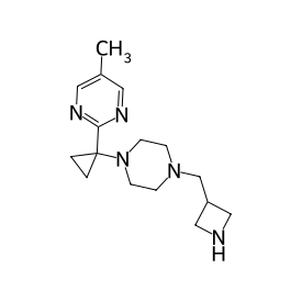 Cc1cnc(C2(N3CCN(CC4CNC4)CC3)CC2)nc1